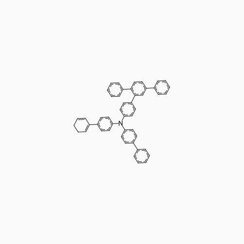 C1=CC(c2ccc(N(c3ccc(-c4ccccc4)cc3)c3ccc(-c4cc(-c5ccccc5)ccc4-c4ccccc4)cc3)cc2)=CCC1